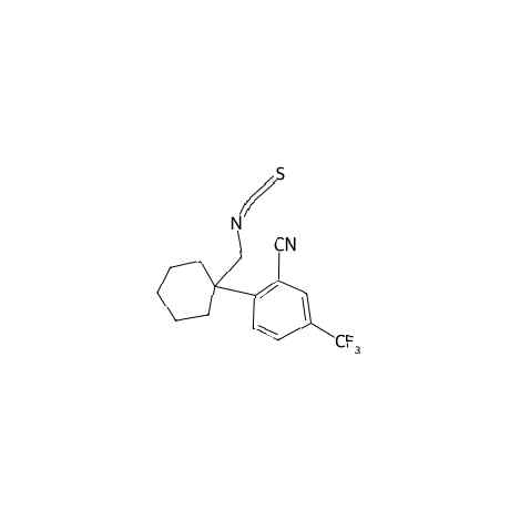 N#Cc1cc(C(F)(F)F)ccc1C1(CN=C=S)CCCCC1